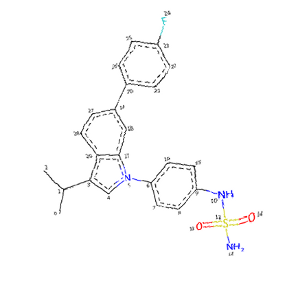 CC(C)c1cn(-c2ccc(NS(N)(=O)=O)cc2)c2cc(-c3ccc(F)cc3)ccc12